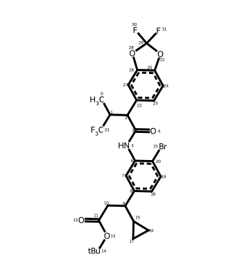 CC(C(C(=O)Nc1cc(C(CC(=O)OC(C)(C)C)C2CC2)ccc1Br)c1ccc2c(c1)OC(F)(F)O2)C(F)(F)F